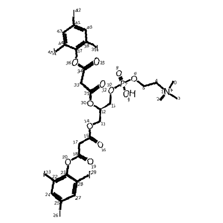 C[N+](C)(C)CCOP(=O)(O)OC[C@@H](COC(=O)CC(=O)Oc1c(I)cc(I)cc1I)OC(=O)CC(=O)Oc1c(I)cc(I)cc1I